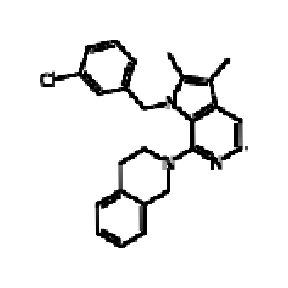 Cc1c(C)n(Cc2cccc(Cl)c2)c2c(N3CCc4ccccc4C3)n[c]cc12